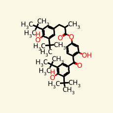 CC(Cc1cc(C(C)(C)C)c(O)c(C(C)(C)C)c1)C(=O)Oc1ccc(C(=O)c2cc(C(C)(C)C)c(O)c(C(C)(C)C)c2)c(O)c1